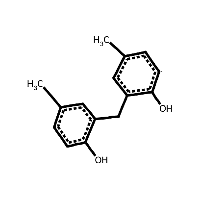 Cc1c[c]c(O)c(Cc2cc(C)ccc2O)c1